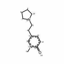 Cn1cc(CCN2CCCC2)ccc1=O